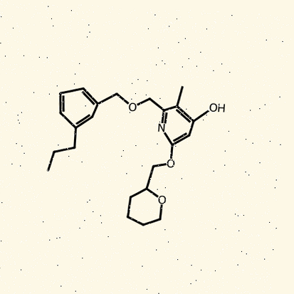 CCCc1cccc(COCc2nc(OCC3CCCCO3)cc(O)c2C)c1